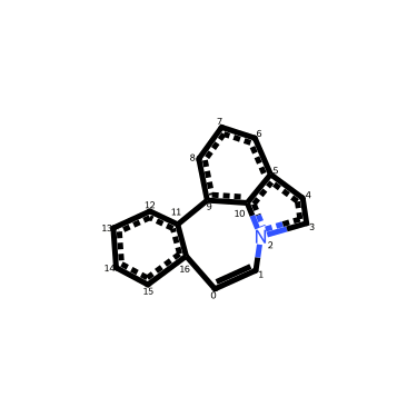 C1=Cn2ccc3cccc(c32)-c2ccccc21